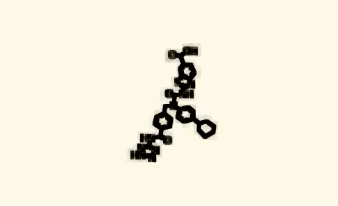 O=C(O)c1ccc2nc(NC(=O)N(Cc3ccc(C(=O)Nc4nn[nH]n4)cc3)c3ccc(C4CCCCC4)cc3)sc2c1